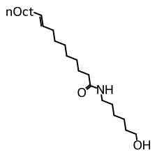 CCCCCCCCC=CCCCCCCCC(=O)NCCCCCCO